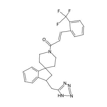 O=C(/C=C/c1ccccc1C(F)(F)F)N1CCC2(CC1)CC(Cc1nnn[nH]1)c1ccccc12